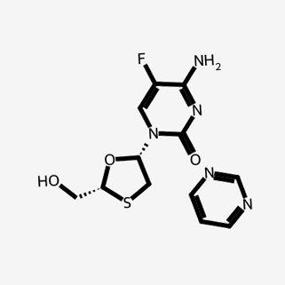 Nc1nc(=O)n([C@@H]2CS[C@H](CO)O2)cc1F.c1cncnc1